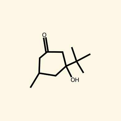 CC1CC(=O)CC(O)(C(C)(C)C)C1